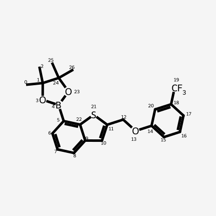 CC1(C)OB(c2cccc3cc(COc4cccc(C(F)(F)F)c4)sc23)OC1(C)C